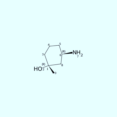 C[C@@]1(O)CCC[C@@H](N)C1